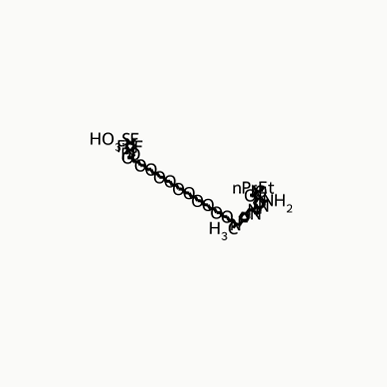 CCCN(OCC)C(=O)C1=Cc2c(cnn2Cc2ccc(CN(C)CCOCCOCCOCCOCCOCCOCCOCCOCCOCCOCCC(=O)Oc3c(F)c(F)c(S(=O)(=O)O)c(F)c3F)cc2)N=C(N)C1